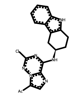 CC(=O)c1cnc2c(N[C@@H]3CCc4[nH]c5ccccc5c4C3)nc(Cl)nn12